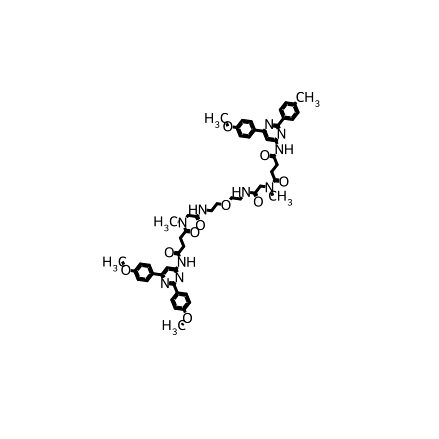 COc1ccc(-c2cc(NC(=O)CCC(=O)N(C)CC(=O)NCCOCCNC(=O)CN(C)C(=O)CCC(=O)Nc3cc(-c4ccc(OC)cc4)nc(-c4ccc(OC)cc4)n3)nc(-c3ccc(C)cc3)n2)cc1